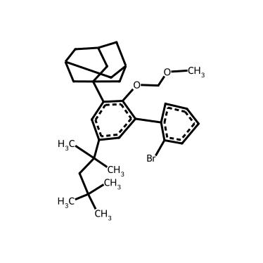 COCOc1c(-c2ccccc2Br)cc(C(C)(C)CC(C)(C)C)cc1C12CC3CC(CC(C3)C1)C2